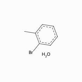 Cc1ccccc1Br.O